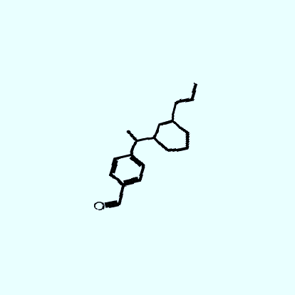 CCCC1CCCC(C(C)c2ccc(C=O)cc2)C1